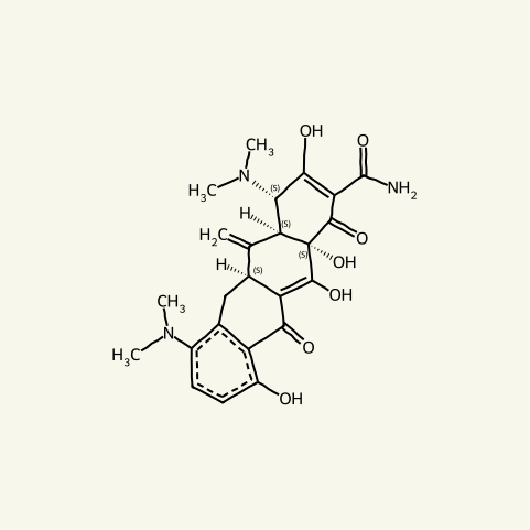 C=C1[C@@H]2Cc3c(N(C)C)ccc(O)c3C(=O)C2=C(O)[C@]2(O)C(=O)C(C(N)=O)=C(O)[C@@H](N(C)C)[C@H]12